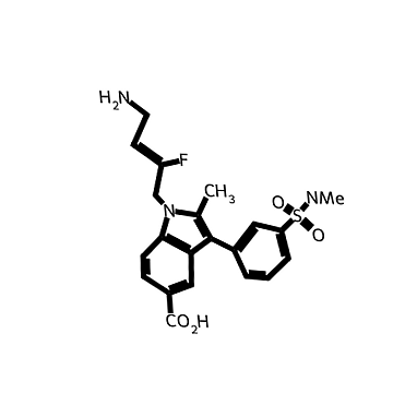 CNS(=O)(=O)c1cccc(-c2c(C)n(C/C(F)=C/CN)c3ccc(C(=O)O)cc23)c1